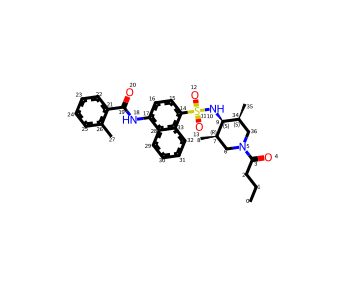 CCCC(=O)N1C[C@@H](C)[C@@H](NS(=O)(=O)c2ccc(NC(=O)c3ccccc3C)c3ccccc23)[C@@H](C)C1